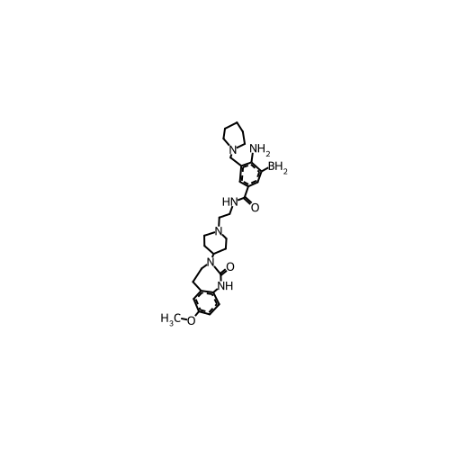 Bc1cc(C(=O)NCCN2CCC(N3CCc4cc(OC)ccc4NC3=O)CC2)cc(CN2CCCCC2)c1N